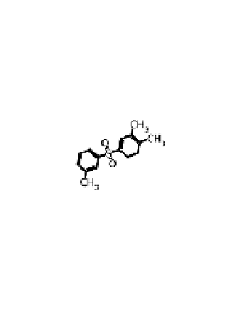 CC1=C(C)CCC(S(=O)(=O)c2cccc(C)c2)=C1